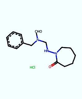 Cl.O=CN(CNN1CCCCCC1=O)Cc1ccccc1